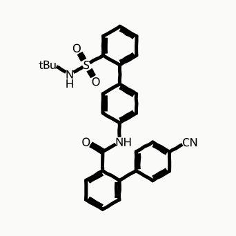 CC(C)(C)NS(=O)(=O)c1ccccc1-c1ccc(NC(=O)c2ccccc2-c2ccc(C#N)cc2)cc1